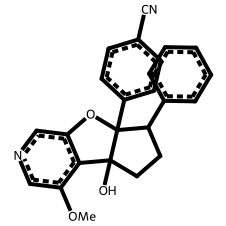 COc1cncc2c1C1(O)CCC(c3ccccc3)C1(c1ccc(C#N)cc1)O2